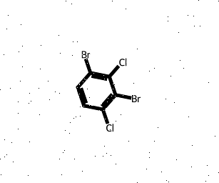 Clc1ccc(Br)c(Cl)c1Br